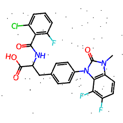 Cn1c(=O)n(-c2ccc(CC(NC(=O)c3c(F)cccc3Cl)C(=O)O)cc2)c2c(F)c(F)ccc21